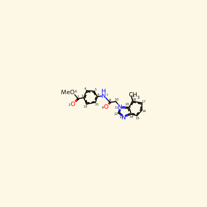 COC(=O)c1ccc(NC(=O)Cn2cnc3cccc(C)c32)cc1